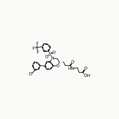 O=C(O)CCNC(=O)CC[C@H]1CN(S(=O)(=O)c2cccc(C(F)(F)F)c2)c2cc(-c3cccc(Cl)c3)ccc2O1